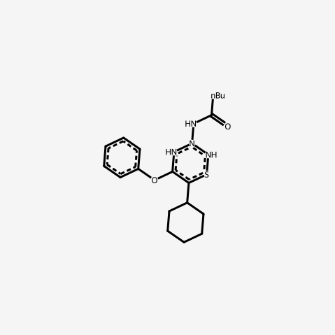 CCCCC(=O)Nn1[nH]sc(C2CCCCC2)c(Oc2ccccc2)[nH]1